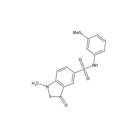 CSc1cccc(NS(=O)(=O)c2ccc3c(c2)c(=O)sn3C)c1